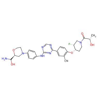 C[C@H](O)C(=O)N1CC[C@H](Oc2ccc(-c3ncnc(Nc4ccc(N5CCO[C@H](C(N)O)C5)cc4)n3)cc2C#N)[C@H](F)C1